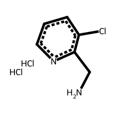 Cl.Cl.NCc1ncccc1Cl